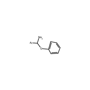 CC(=O)[C](N)Oc1ccccc1